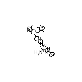 Cc1noc(C)c1CN(Cc1c(C)noc1C)CC1CCC2CN(c3nc(N)n4nc(-c5ccco5)nc4n3)CCN2C1